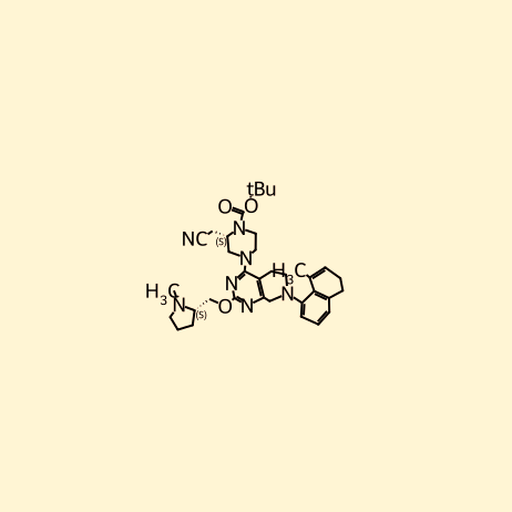 CC1=CCCc2cccc(N3CCc4c(nc(OC[C@@H]5CCCN5C)nc4N4CCN(C(=O)OC(C)(C)C)[C@@H](CC#N)C4)C3)c21